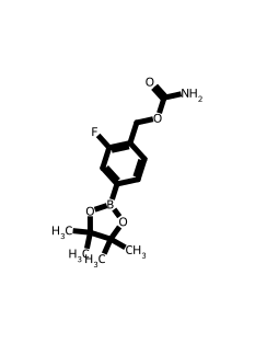 CC1(C)OB(c2ccc(COC(N)=O)c(F)c2)OC1(C)C